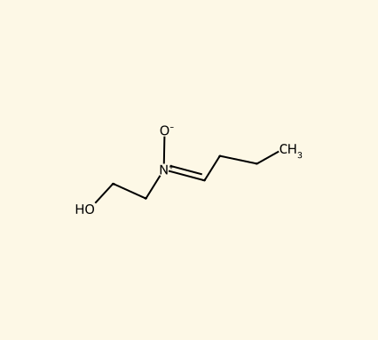 CCCC=[N+]([O-])CCO